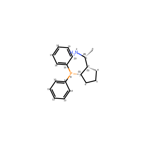 C[C@@H](N)[C@@H]1CCC[C@@H]1P(c1ccccc1)c1ccccc1